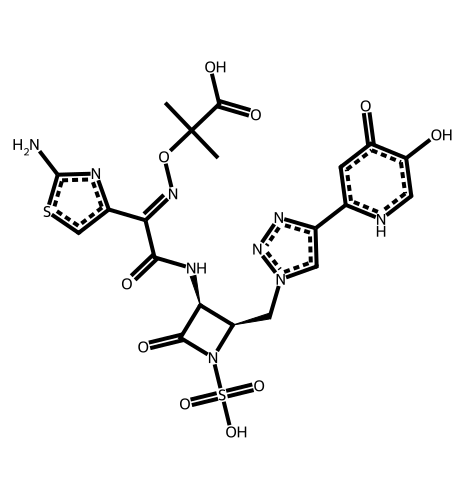 CC(C)(ON=C(C(=O)N[C@@H]1C(=O)N(S(=O)(=O)O)[C@@H]1Cn1cc(-c2cc(=O)c(O)c[nH]2)nn1)c1csc(N)n1)C(=O)O